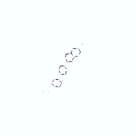 CCCCCc1ccc2c(F)c(-c3ccc(-c4ccc(OC)cc4)c(F)c3)ccc2c1